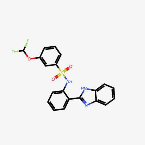 O=S(=O)(Nc1ccccc1-c1nc2ccccc2[nH]1)c1cccc(OC(F)F)c1